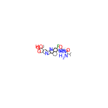 CC[C@@]1(O)C(=O)OCC2=C1C=C1c3nc4cc(F)c(NC(=O)[C@H](C)NC(=O)[C@@H](N)C(C)C)c5c4c(c3CN1C2)CCC5